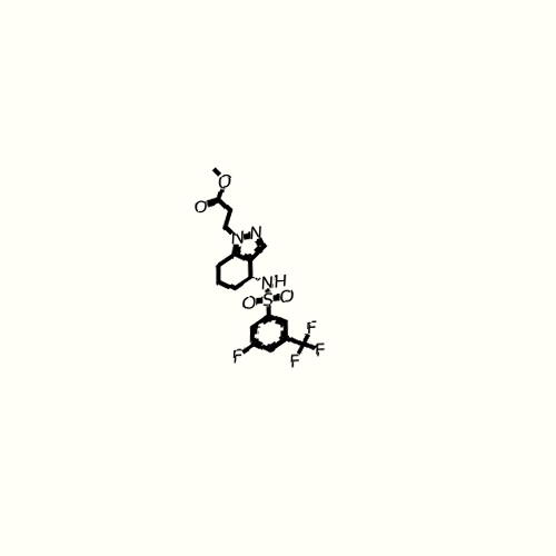 COC(=O)CCn1ncc2c1CCC[C@H]2NS(=O)(=O)c1cc(F)cc(C(F)(F)F)c1